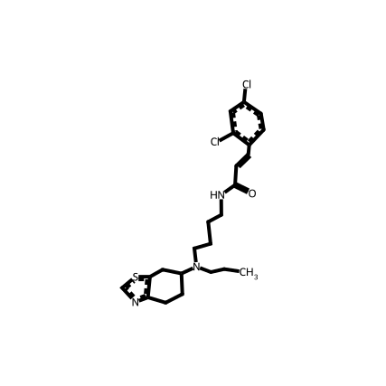 CCCN(CCCCNC(=O)C=Cc1ccc(Cl)cc1Cl)C1CCc2ncsc2C1